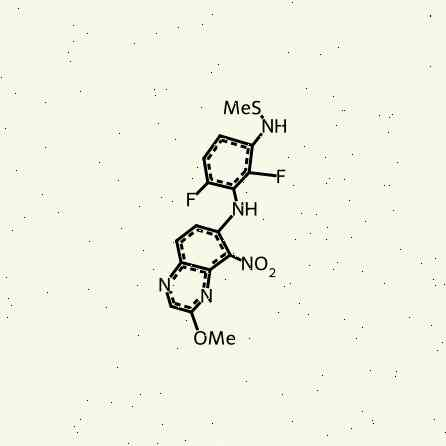 COc1cnc2ccc(Nc3c(F)ccc(NSC)c3F)c([N+](=O)[O-])c2n1